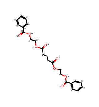 O=C(CCCC(=O)OCCOC(=O)c1ccccc1)OCCOC(=O)c1ccccc1